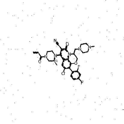 C=CC(=O)N1CCN(c2c(C#N)c(=O)n3c4c(c(-c5ccc(F)cc5F)c(Cl)cc24)OCC3CN2CCN(C)CC2)[C@@H](C)C1